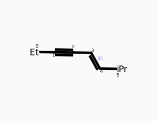 CCC#C/C=C/C(C)C